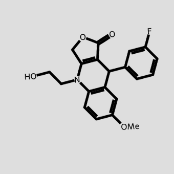 COc1ccc2c(c1)C(c1cccc(F)c1)C1=C(COC1=O)N2CCO